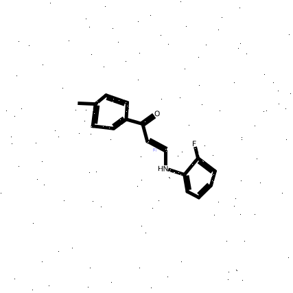 Cc1ccc(C(=O)/C=C/Nc2ccccc2F)cc1